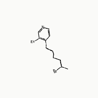 CCc1cnccc1CCCCC(C)Br